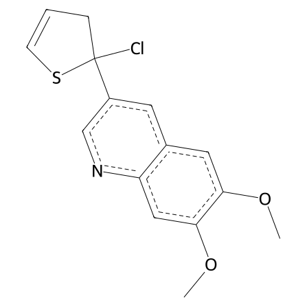 COc1cc2cc(C3(Cl)CC=CS3)cnc2cc1OC